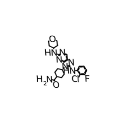 NC(=O)C1CCC(n2c(Nc3cccc(F)c3Cl)nc3cnc(NC4CCOCC4)nc32)CC1